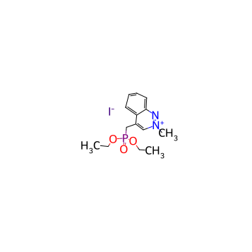 CCOP(=O)(Cc1c[n+](C)nc2ccccc12)OCC.[I-]